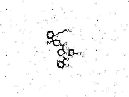 CCC[C@H]1N(C(=O)c2ncccc2C(F)(F)F)CCC[C@@]1(Oc1csc(C(F)(F)F)c1)C(=O)N1CCC(O)(c2ccccc2OCCCC(C)=O)CC1